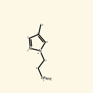 [CH2]c1cnn(CCCCCCC)c1